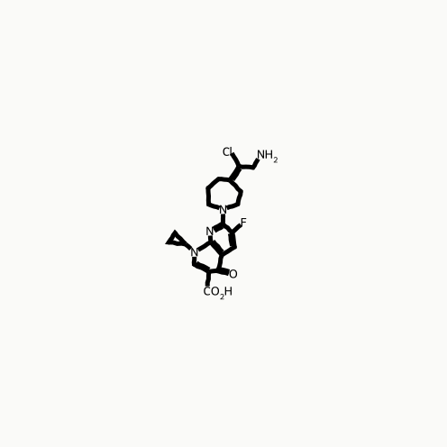 NCC(Cl)=C1CCCN(c2nc3c(cc2F)c(=O)c(C(=O)O)cn3C2CC2)CC1